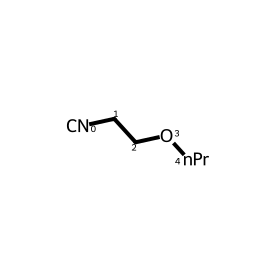 [C-]#[N+]CCOCCC